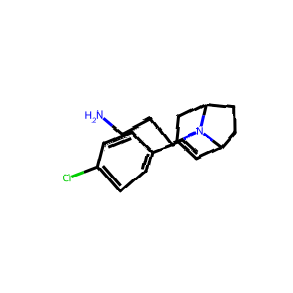 NCCCN1C2C=C(c3ccc(Cl)cc3)CC1CC2